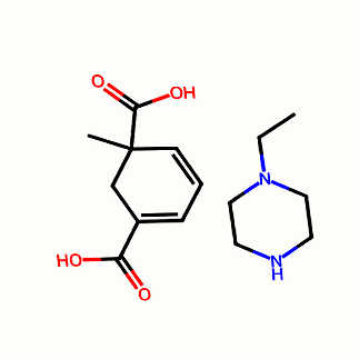 CC1(C(=O)O)C=CC=C(C(=O)O)C1.CCN1CCNCC1